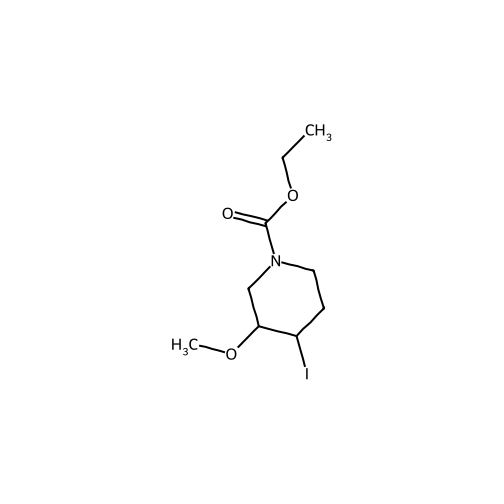 CCOC(=O)N1CCC(I)C(OC)C1